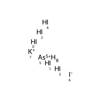 I.I.I.I.I.[AsH8+5].[I-].[K+]